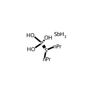 CCCS(CCC)=P(O)(O)O.[SbH3]